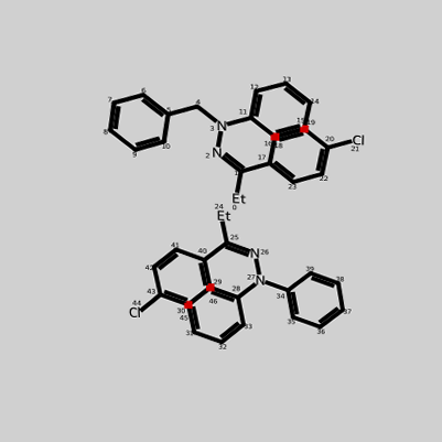 CC/C(=N/N(Cc1ccccc1)c1ccccc1)c1ccc(Cl)cc1.CC/C(=N/N(c1ccccc1)c1ccccc1)c1ccc(Cl)cc1